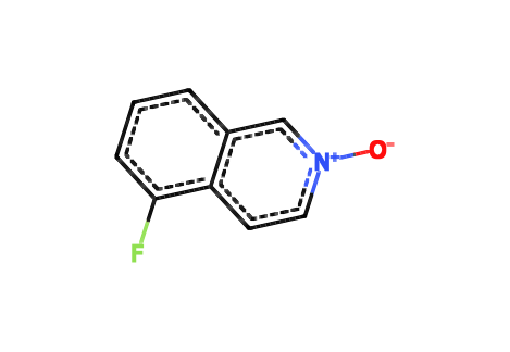 [O-][n+]1ccc2c(F)cccc2c1